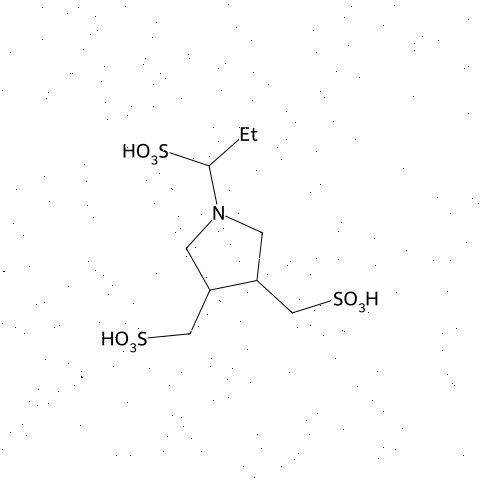 CCC(N1CC(CS(=O)(=O)O)C(CS(=O)(=O)O)C1)S(=O)(=O)O